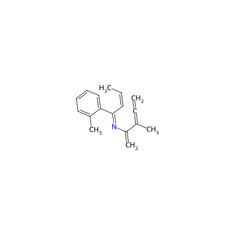 C=C=C(C)C(=C)/N=C(\C=C/C)c1ccccc1C